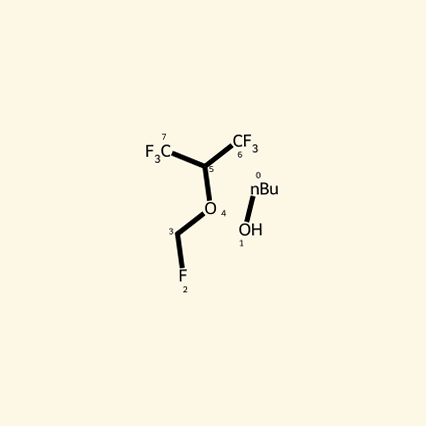 CCCCO.FCOC(C(F)(F)F)C(F)(F)F